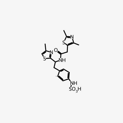 Cc1csc(C(Cc2[c]cc(NS(=O)(=O)O)cc2)NC(=O)Cc2sc(C)nc2C)n1